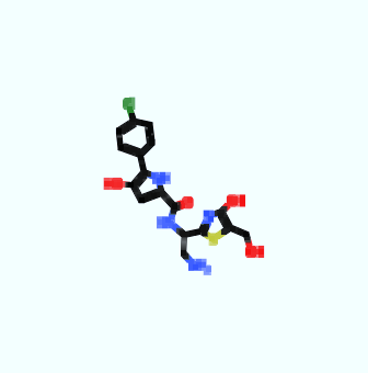 NCC(NC(=O)c1cc(O)c(-c2ccc(Cl)cc2)[nH]1)c1nc(O)c(CO)s1